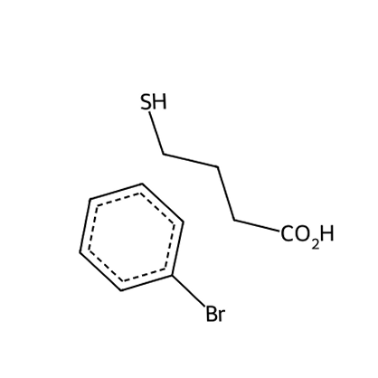 Brc1ccccc1.O=C(O)CCCS